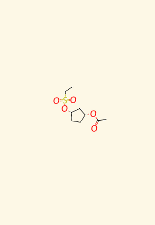 CCS(=O)(=O)O[C@H]1CC[C@@H](OC(C)=O)C1